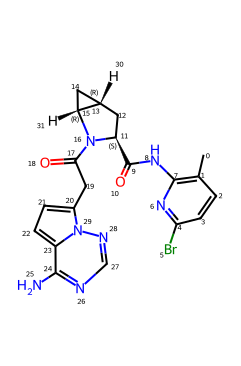 Cc1ccc(Br)nc1NC(=O)[C@@H]1C[C@H]2C[C@H]2N1C(=O)Cc1ccc2c(N)ncnn12